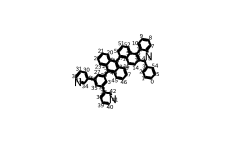 c1ccc(-c2nc3ccccc3c3c2ccc2c(-c4c5ccccc5c(-c5cc(-c6cccnc6)cc(-c6cccnc6)c5)c5ccccc45)cccc23)cc1